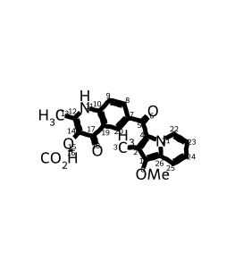 COc1c(C)c(C(=O)c2ccc3[nH]c(C)c(OC(=O)O)c(=O)c3c2)n2ccccc12